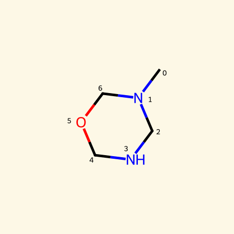 CN1CNCOC1